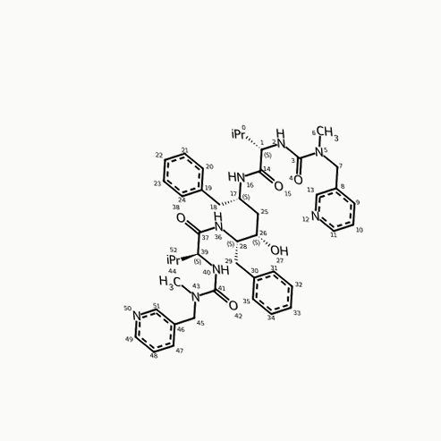 CC(C)[C@H](NC(=O)N(C)Cc1cccnc1)C(=O)N[C@@H](Cc1ccccc1)C[C@H](O)[C@H](Cc1ccccc1)NC(=O)[C@@H](NC(=O)N(C)Cc1cccnc1)C(C)C